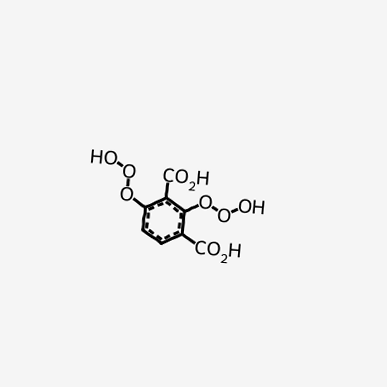 O=C(O)c1ccc(OOO)c(C(=O)O)c1OOO